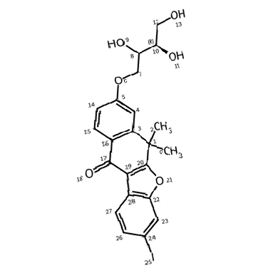 CC1(C)c2cc(OCC(O)[C@H](O)CO)ccc2C(=O)c2c1oc1cc(I)ccc21